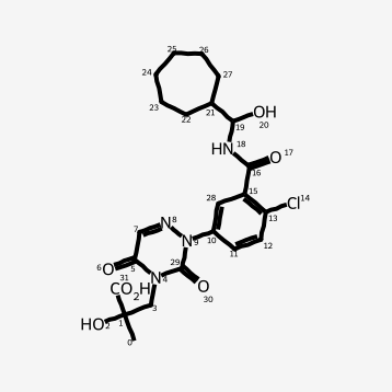 CC(O)(Cn1c(=O)cnn(-c2ccc(Cl)c(C(=O)NC(O)C3CCCCCC3)c2)c1=O)C(=O)O